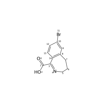 O=C(O)C1=NCCCc2cc(Br)ccc21